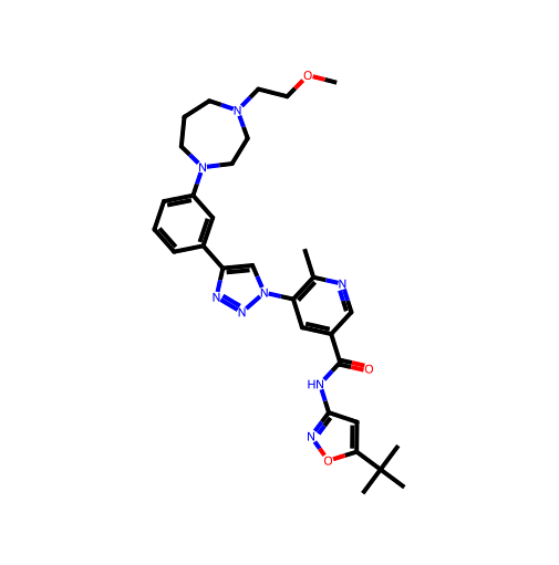 COCCN1CCCN(c2cccc(-c3cn(-c4cc(C(=O)Nc5cc(C(C)(C)C)on5)cnc4C)nn3)c2)CC1